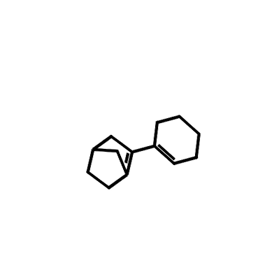 C1=C(C2=C3CCC(C3)C2)CCCC1